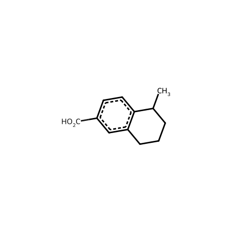 CC1CCCc2cc(C(=O)O)ccc21